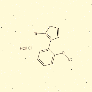 CCOc1ccccc1C1=[C]([Ti])CC=C1.Cl.Cl